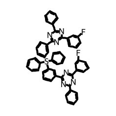 Fc1cccc(-c2nc(-c3ccccc3)nc(-c3cccc(S(c4ccccc4)(c4ccccc4)c4cccc(-c5nc(-c6ccccc6)nc(-c6cccc(F)c6)n5)c4)c3)n2)c1